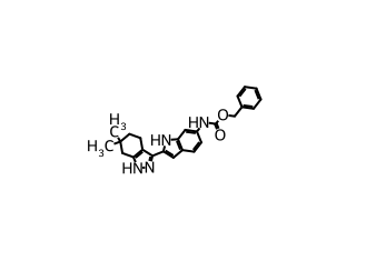 CC1(C)CCc2c(-c3cc4ccc(NC(=O)OCc5ccccc5)cc4[nH]3)n[nH]c2C1